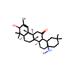 CCN[C@]12CCC(C)(C)CC1C1C(=O)C[C@@H]3[C@@]4(C)C=C(C#N)C(O)C(C)(C)[C@@H]4CC[C@@]3(C)[C@]1(C)CC2